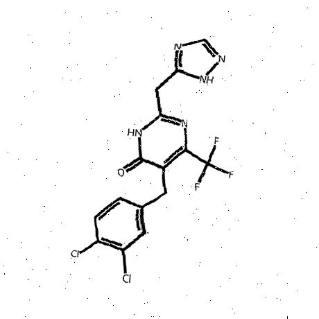 O=c1[nH]c(Cc2ncn[nH]2)nc(C(F)(F)F)c1Cc1ccc(Cl)c(Cl)c1